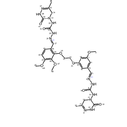 COc1cc(/C=N/NC(=O)NN2CC(C)=NNC2=O)cc(OCCOc2c(/C=N/NC(=O)NN3CC(C)=NNC3=O)ccc(OC)c2OC)c1